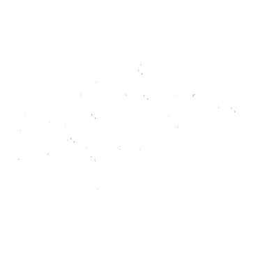 CC[C@@H](CN(Cc1cccc(Cl)c1Cl)C(=S)Nc1ccccc1Cl)NC(=O)Cc1cncn1Cc1ccc(C#N)cc1